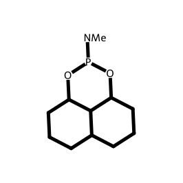 CNP1OC2CCCC3CCCC(O1)C32